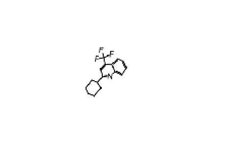 FC(F)(F)c1cc(C2CCCCC2)nc2ccccc12